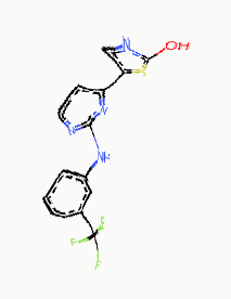 Oc1ncc(-c2ccnc(Nc3cccc(C(F)(F)F)c3)n2)s1